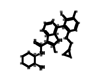 Cc1ccc(OCC2CC2)c(-c2ncnc3c(C(=O)N[C@H]4CCCC[C@H]4O)c(C)[nH]c23)c1F